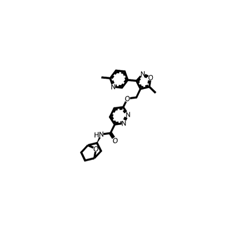 Cc1ccc(-c2noc(C)c2COc2ccc(C(=O)N[C@H]3CC4CCC3O4)nn2)cn1